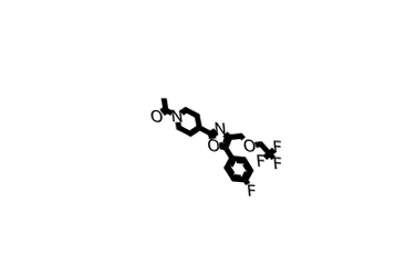 CC(=O)N1CCC(c2nc(COCC(F)(F)F)c(-c3ccc(F)cc3)o2)CC1